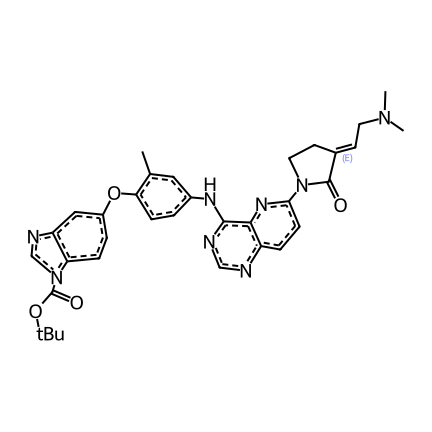 Cc1cc(Nc2ncnc3ccc(N4CC/C(=C\CN(C)C)C4=O)nc23)ccc1Oc1ccc2c(c1)ncn2C(=O)OC(C)(C)C